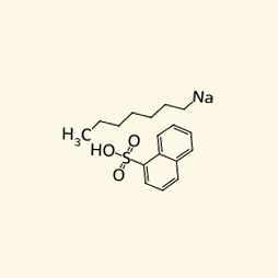 CCCCCC[CH2][Na].O=S(=O)(O)c1cccc2ccccc12